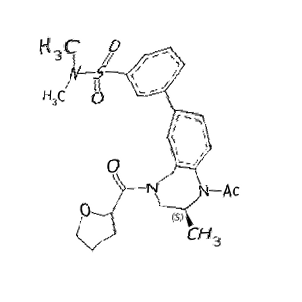 CC(=O)N1c2ccc(-c3cccc(S(=O)(=O)N(C)C)c3)cc2N(C(=O)C2CCCO2)C[C@@H]1C